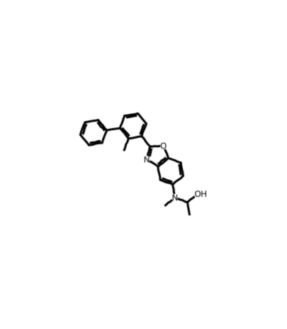 Cc1c(-c2ccccc2)cccc1-c1nc2cc(N(C)C(C)O)ccc2o1